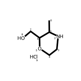 CC1NCCOC1CO.Cl